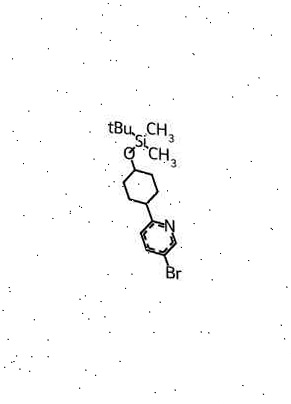 CC(C)(C)[Si](C)(C)OC1CCC(c2ccc(Br)cn2)CC1